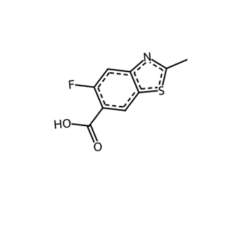 Cc1nc2cc(F)c(C(=O)O)cc2s1